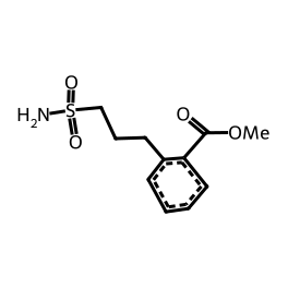 COC(=O)c1ccccc1CCCS(N)(=O)=O